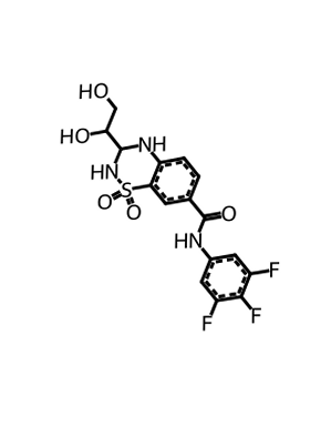 O=C(Nc1cc(F)c(F)c(F)c1)c1ccc2c(c1)S(=O)(=O)NC(C(O)CO)N2